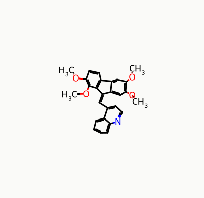 COc1cc2c(cc1OC)-c1ccc(OC)c(OC)c1/C2=C/c1ccnc2ccccc12